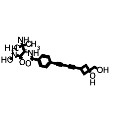 CC(C)(N)[C@H](NC(=O)c1ccc(C#CC#CC2CC(O)(CO)C2)cc1)C(=O)NO